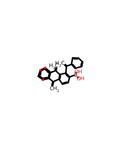 C=C(c1ccccc1)c1ccc(B(O)O)c(C(=C)c2ccccc2)c1C(=C)c1ccccc1